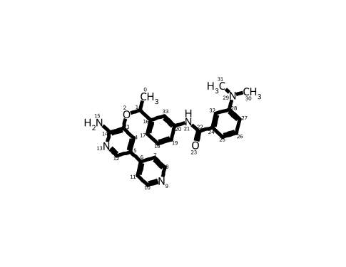 CC(Oc1cc(-c2ccncc2)cnc1N)c1cccc(NC(=O)c2cccc(N(C)C)c2)c1